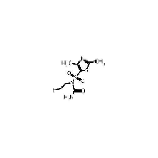 Cc1nc(C)c(S(=O)(=O)N(CCF)C(N)=O)s1